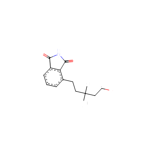 CC(C)(CCO)CCc1cccc2c1C(=O)NC2=O